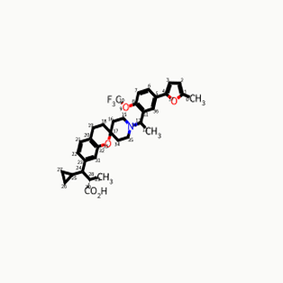 Cc1ccc(-c2ccc(OC(F)(F)F)c(C(C)N3CCC4(CCc5ccc(C(C6CC6)[C@H](C)C(=O)O)cc5O4)CC3)c2)o1